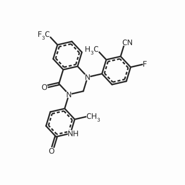 Cc1[nH]c(=O)ccc1N1CN(c2ccc(F)c(C#N)c2C)c2ccc(C(F)(F)F)cc2C1=O